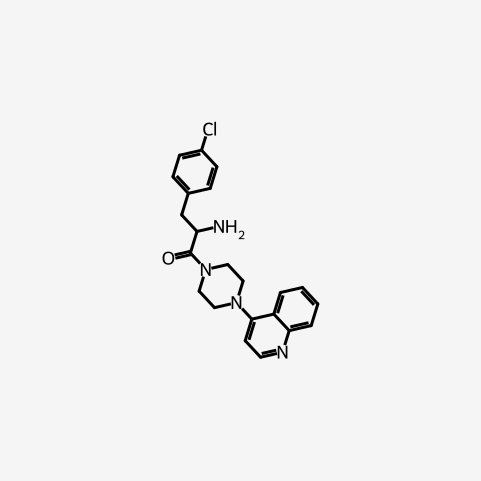 NC(Cc1ccc(Cl)cc1)C(=O)N1CCN(c2ccnc3ccccc23)CC1